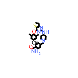 Cc1cc(C#N)cc(C)c1Oc1nc(NC2CCN(Cc3ccc(C(N)=O)cc3)CC2)nc2c1SCC2